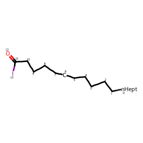 CCCCCCCCCCCCCCCCCC(=O)I